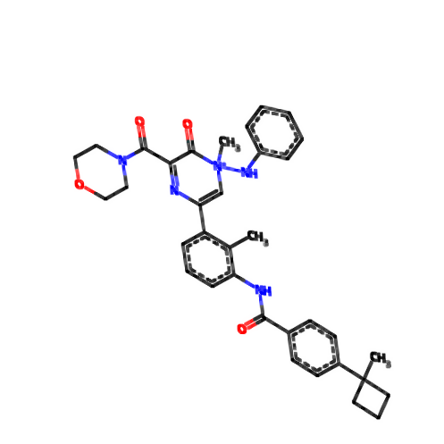 Cc1c(NC(=O)c2ccc(C3(C)CCC3)cc2)cccc1C1=C[N+](C)(Nc2ccccc2)C(=O)C(C(=O)N2CCOCC2)=N1